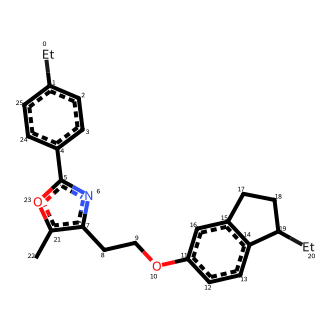 CCc1ccc(-c2nc(CCOc3ccc4c(c3)CCC4CC)c(C)o2)cc1